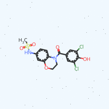 CS(=O)(=O)Nc1ccc2c(c1)OCCN2C(=O)c1cc(Cl)c(O)c(Cl)c1